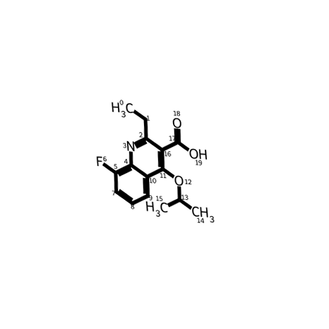 CCc1nc2c(F)cccc2c(OC(C)C)c1C(=O)O